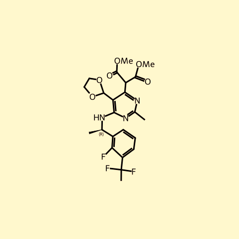 COC(=O)C(C(=O)OC)c1nc(C)nc(N[C@H](C)c2cccc(C(C)(F)F)c2F)c1C1OCCO1